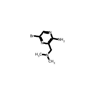 CN(C)Cc1nc(Br)cnc1N